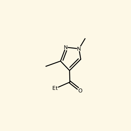 CCC(=O)c1cn(C)nc1C